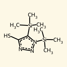 C[Si](C)(C)c1c(S)nnn1[Si](C)(C)C